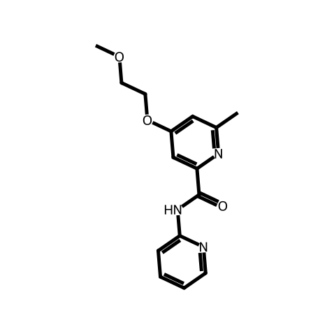 COCCOc1cc(C)nc(C(=O)Nc2ccccn2)c1